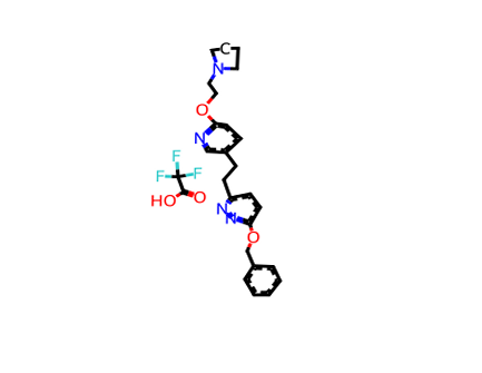 O=C(O)C(F)(F)F.c1ccc(COc2ccc(CCc3ccc(OCCN4CCCC4)nc3)nn2)cc1